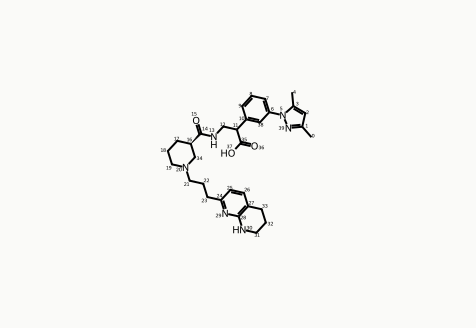 Cc1cc(C)n(-c2cccc(C(CNC(=O)[C@@H]3CCCN(CCCc4ccc5c(n4)NCCC5)C3)C(=O)O)c2)n1